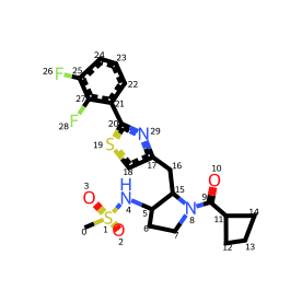 CS(=O)(=O)NC1CCN(C(=O)C2CCC2)C1Cc1csc(-c2cccc(F)c2F)n1